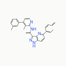 C=C/C=C\C(=C/C)c1ccc2[nH]nc(C(=C)Nc3nccc(-c4cccc(C)c4)c3C)c2n1